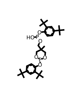 CC1(COP(O)Oc2ccc(C(C)(C)C)cc2C(C)(C)C)COP(Oc2ccc(C(C)(C)C)cc2C(C)(C)C)OC1